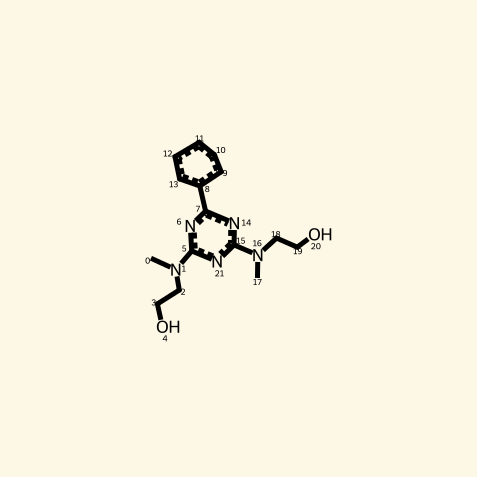 CN(CCO)c1nc(-c2ccccc2)nc(N(C)CCO)n1